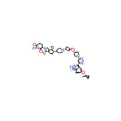 COc1c(C2CCN([C@H]3C[C@H](OC4CCN(c5cc(-c6[nH]nc7ccc(OC8(C)CC8)cc67)ncn5)CC4)C3)CC2)ccc2c1CN(C1CCC(=O)NC1=O)C2=O